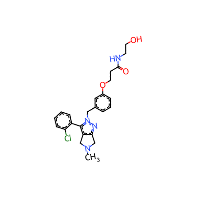 CN1Cc2nn(Cc3cccc(OCCC(=O)NCCO)c3)c(-c3ccccc3Cl)c2C1